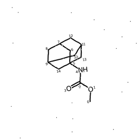 COC(=O)NC12CC3CC(CC(C3)C1)C2